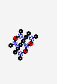 c1ccc(-c2nc(-c3ccccc3)nc(-n3c4ccccc4c4cc5c(cc43)c3cc4c(cc3n5-c3nc(-c5ccccc5)nc(-c5ccccc5)n3)c3cc5c(cc3n4-c3nc(-c4ccccc4)nc(-c4ccccc4)n3)c3cc4c(cc3n5-c3nc(-c5ccccc5)nc(-c5ccccc5)n3)c3ccccc3n4-c3nc(-c4ccccc4)nc(-c4ccccc4)n3)n2)cc1